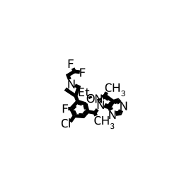 CCOc1c(C(C)n2nc(C)c3cncnc32)cc(Cl)c(F)c1C1CN(CC(F)F)C1